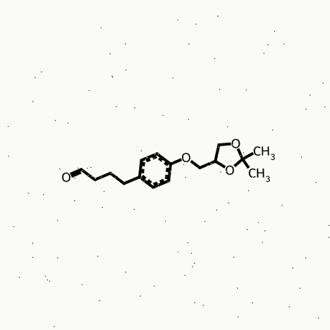 CC1(C)OCC(COc2ccc(CCCC=O)cc2)O1